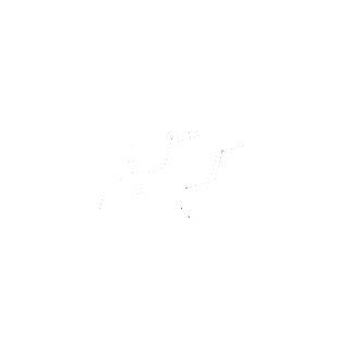 COS(=O)(=O)c1ccc(C)cc1.[NaH]